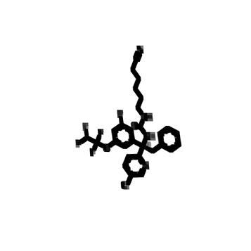 N#CCCCCCNC(=O)N[C@@](Cc1ccccc1)(c1cc(F)cc(OC(F)(F)C(F)F)c1)c1ccc(Cl)cn1